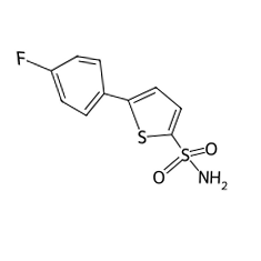 NS(=O)(=O)c1ccc(-c2ccc(F)cc2)s1